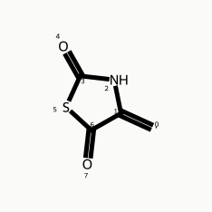 [CH]=C1NC(=O)SC1=O